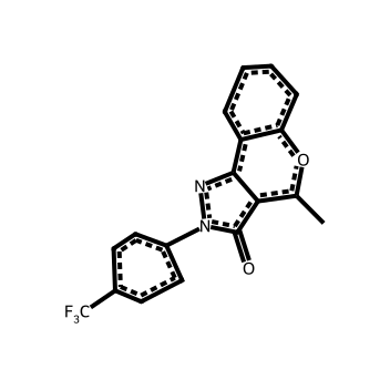 Cc1oc2ccccc2c2nn(-c3ccc(C(F)(F)F)cc3)c(=O)c1-2